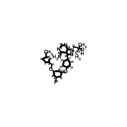 Cc1ccc(COc2cc(F)cc(Oc3ccc(-c4nn(CC(C)(C)O)c5ncnc(N)c45)cc3)c2)s1